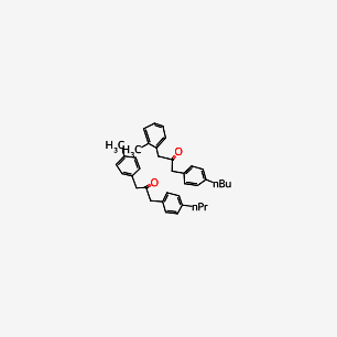 CCCCc1ccc(CC(=O)Cc2ccccc2C)cc1.CCCc1ccc(CC(=O)Cc2ccc(C)cc2)cc1